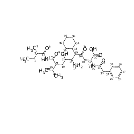 CC[C@H](C)C(=O)NC(=O)C(CC(O)C(N)C(C(=O)C[C@H](NC(=O)Cc1ccccc1)C(=O)O)C1CCCCC1)C(C)C